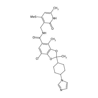 CSc1cc(C)[nH]c(=O)c1CNC(=O)c1cc(Cl)c2c(c1C)OC(C)(C1CCC(n3ccnc3)CC1)O2